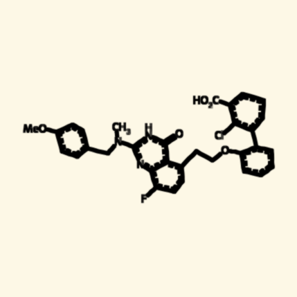 COc1ccc(CN(C)c2nc3c(F)ccc(CCOc4ccccc4-c4cccc(C(=O)O)c4Cl)c3c(=O)[nH]2)cc1